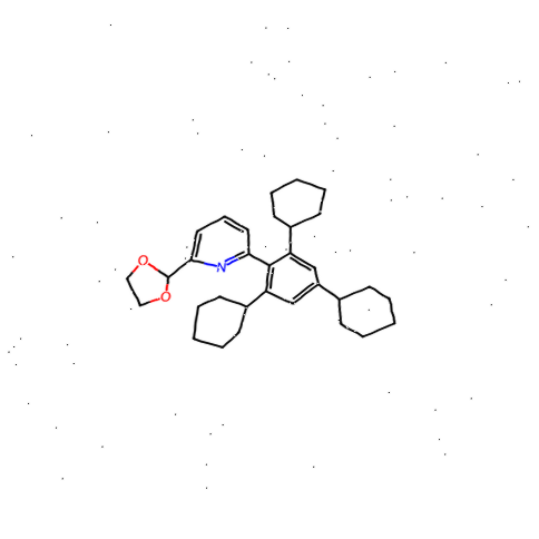 c1cc(-c2c(C3CCCCC3)cc(C3CCCCC3)cc2C2CCCCC2)nc(C2OCCO2)c1